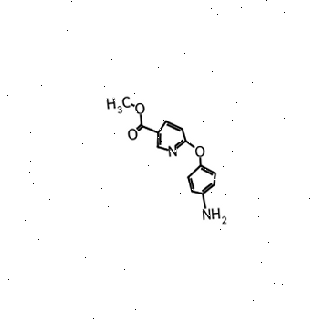 COC(=O)c1ccc(Oc2ccc(N)cc2)nc1